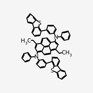 CCc1cc(N(c2ccccc2)c2cccc(-c3cccc4c3sc3ccccc34)c2)c2ccc3c(CC)cc(N(c4ccccc4)c4cccc(-c5cccc6c5sc5ccccc56)c4)c4ccc1c2c34